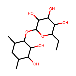 CCC1OC(OC2C(C)CC(C)C(O)C2O)C(O)C(O)C1O